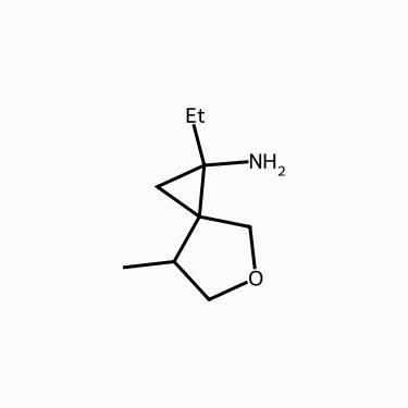 CCC1(N)CC12COCC2C